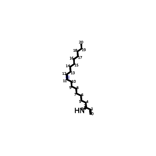 C=CC(=N)CCCCCCC/C=C\CCCCCCCC